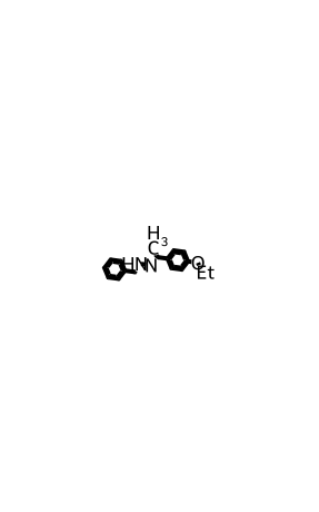 CCOc1ccc(C(C)=NNCc2ccccc2)cc1